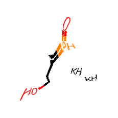 O=[PH]=CCO.[KH].[KH]